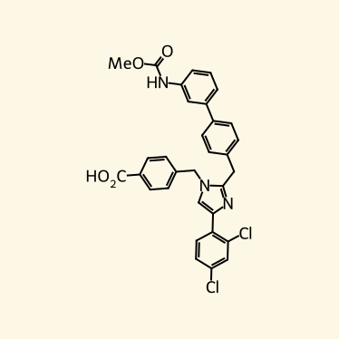 COC(=O)Nc1cccc(-c2ccc(Cc3nc(-c4ccc(Cl)cc4Cl)cn3Cc3ccc(C(=O)O)cc3)cc2)c1